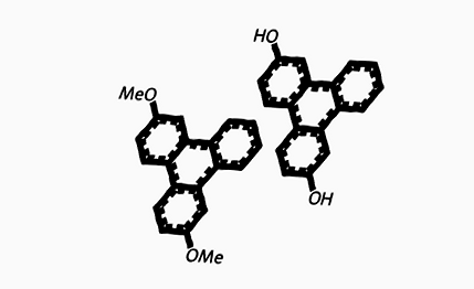 COc1ccc2c3ccc(OC)cc3c3ccccc3c2c1.Oc1ccc2c3ccc(O)cc3c3ccccc3c2c1